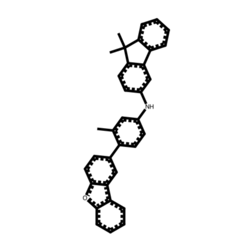 Cc1cc(Nc2ccc3c(c2)-c2ccccc2C3(C)C)ccc1-c1ccc2oc3ccccc3c2c1